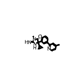 Cc1ccnc(-c2cccc(C3(C4CC4)NC(=N)N(C)C3=O)c2)c1